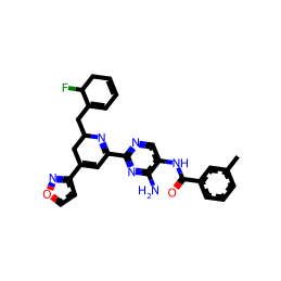 Cc1cccc(C(=O)Nc2cnc(C3=NC(CC4=CC=CCC4F)CC(c4ccon4)=C3)nc2N)c1